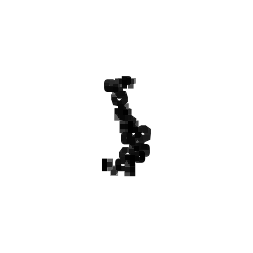 C=C1CCC(N2C(=O)c3cccc(NCc4cnn(C5CCN(C(=O)CCC)CC5)c4)c3C2=O)C(=O)N1